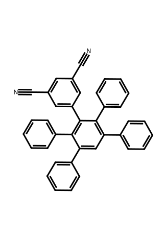 N#Cc1cc(C#N)cc(-c2c(-c3ccccc3)c(-c3ccccc3)cc(-c3ccccc3)c2-c2ccccc2)c1